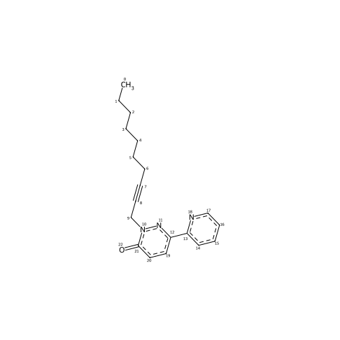 CCCCCCCC#CCn1nc(-c2ccccn2)ccc1=O